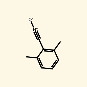 Cc1cccc(C)c1C#[N+][O-]